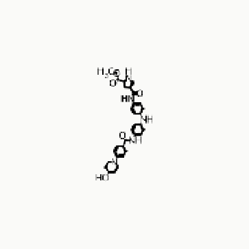 COC(=O)c1cc(C(=O)Nc2ccc(Nc3ccc(NC(=O)c4ccc(N5CCC(O)CC5)cc4)cc3)cc2)c[nH]1